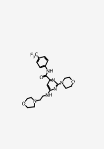 O=C(Nc1ccc(C(F)(F)F)cc1)c1cc(NCCN2CCOCC2)nc(N2CCOCC2)n1